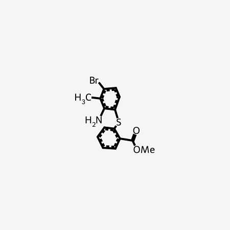 COC(=O)c1ccccc1Sc1ccc(Br)c(C)c1N